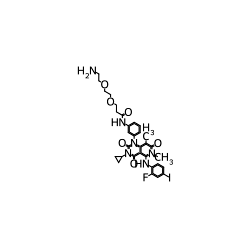 Cc1c(=O)n(C)c(Nc2ccc(I)cc2F)c2c(=O)n(C3CC3)c(=O)n(-c3cccc(NC(=O)CCOCCOCCN)c3)c12